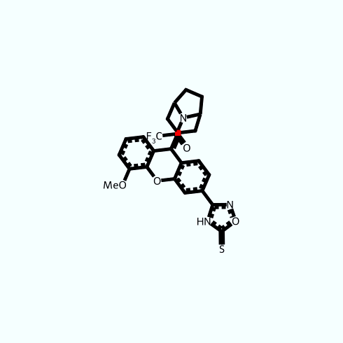 COc1cccc2c1Oc1cc(-c3noc(=S)[nH]3)ccc1C2=C1CC2CCC(C1)N2C(=O)C(F)(F)F